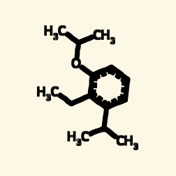 CCc1c(OC(C)C)cccc1[C](C)C